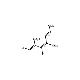 CO/C=C/C(OC)=C(F)\C(=C\Cl)C(=O)O